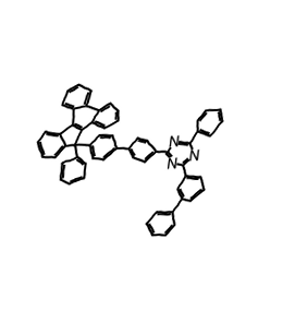 c1ccc(-c2cccc(-c3nc(-c4ccccc4)nc(-c4ccc(-c5ccc(C6(c7ccccc7)c7ccccc7-c7c6c6ccccc6c6ccccc76)cc5)cc4)n3)c2)cc1